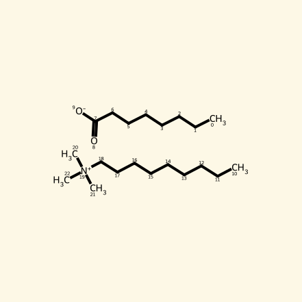 CCCCCCCC(=O)[O-].CCCCCCCCC[N+](C)(C)C